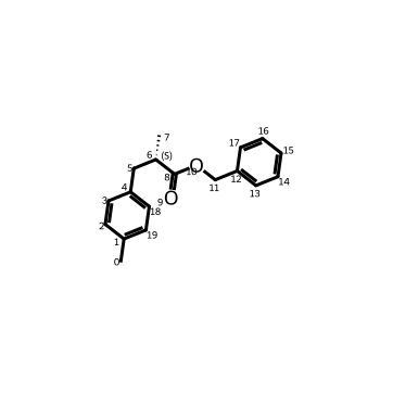 Cc1ccc(C[C@H](C)C(=O)OCc2ccccc2)cc1